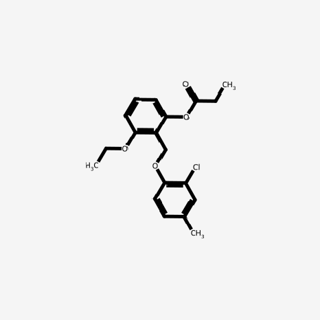 CCOc1cccc(OC(=O)CC)c1COc1ccc(C)cc1Cl